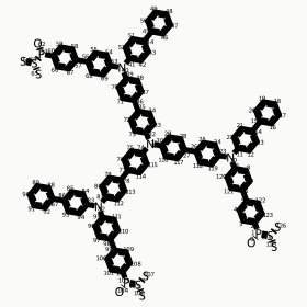 O=P(c1ccc(-c2ccc(N(c3ccc(-c4ccccc4)cc3)c3ccc(-c4ccc(N(c5ccc(-c6ccc(N(c7ccc(-c8ccccc8)cc7)c7ccc(-c8ccc(P(=O)=S(=S)=S)cc8)cc7)cc6)cc5)c5ccc(-c6ccc(N(c7ccc(-c8ccccc8)cc7)c7ccc(-c8ccc(P(=O)=S(=S)=S)cc8)cc7)cc6)cc5)cc4)cc3)cc2)cc1)=S(=S)=S